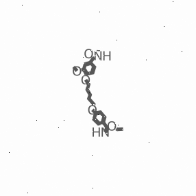 CCOC(=N)c1ccc(OCCCCCOc2ccc(C(=O)NC)cc2OC)cc1